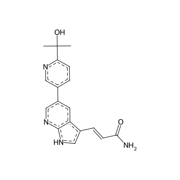 CC(C)(O)c1ccc(-c2cnc3[nH]cc(C=CC(N)=O)c3c2)cn1